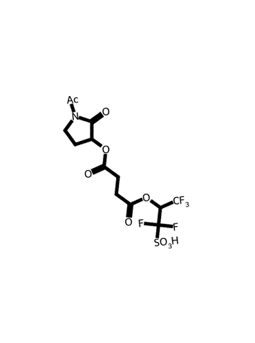 CC(=O)N1CCC(OC(=O)CCC(=O)OC(C(F)(F)F)C(F)(F)S(=O)(=O)O)C1=O